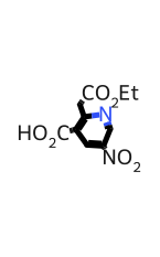 CCOC(=O)Cc1ncc([N+](=O)[O-])cc1C(=O)O